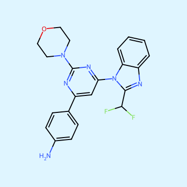 Nc1ccc(-c2cc(-n3c(C(F)F)nc4ccccc43)nc(N3CCOCC3)n2)cc1